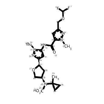 Cn1nc(COC(F)F)cc1C(=O)Nc1cc([C@H]2C[C@@H](N(C(=O)O)C3(C)CC3)CO2)nn1C(C)(C)C